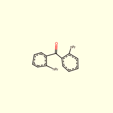 CCCc1ccccc1C(=O)c1ccccc1CCC